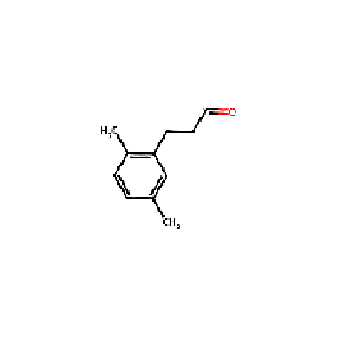 Cc1ccc(C)c(CC[C]=O)c1